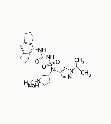 CC(C)n1cc(N(C2CCN(C)C2)S(=O)(=O)NC(=O)Nc2c3c(cc4c2CCC4)CCC3)cn1.[NaH]